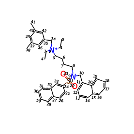 CC[N+](CC)(CCCCN(Cc1cccc2ccccc12)S(=O)(=O)c1ccc2ccccc2c1)Cc1cc(C)cc(C)c1